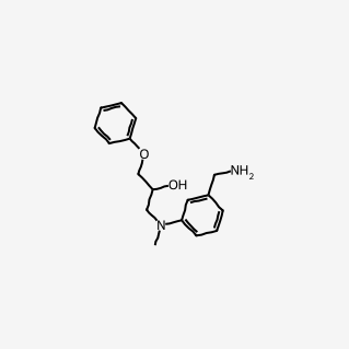 CN(CC(O)COc1ccccc1)c1cccc(CN)c1